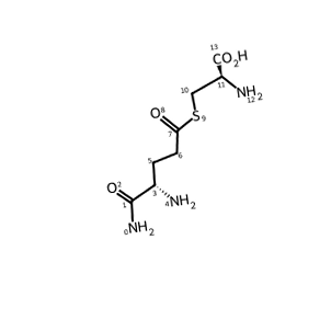 NC(=O)[C@@H](N)CCC(=O)SC[C@H](N)C(=O)O